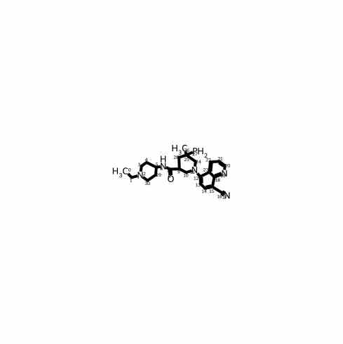 CCN1CCC(NC(=O)C2CN(c3ccc(C#N)c4ncccc34)CC(C)(P)C2)CC1